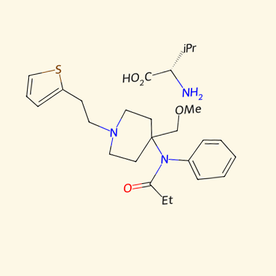 CC(C)[C@H](N)C(=O)O.CCC(=O)N(c1ccccc1)C1(COC)CCN(CCc2cccs2)CC1